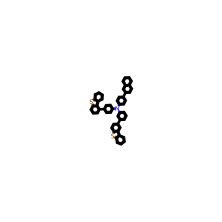 c1cc(-c2ccc3sc4ccccc4c3c2)cc(N(c2ccc(-c3ccc4ccccc4c3)cc2)c2ccc(-c3cccc4sc5ccccc5c34)cc2)c1